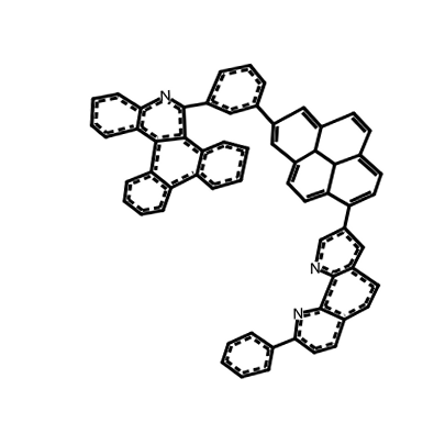 C1=CC2=CC=C(c3cnc4c(ccc5ccc(-c6ccccc6)nc54)c3)C3=CC=C4C=C(c5cccc(-c6nc7ccccc7c7c8ccccc8c8ccccc8c67)c5)C=C1C4C23